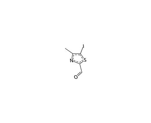 Cc1nc(C=O)sc1I